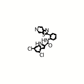 O=C(Nc1ccccc1-c1nc2ccncc2s1)c1cc2c(Cl)cc(Cl)cc2[nH]1